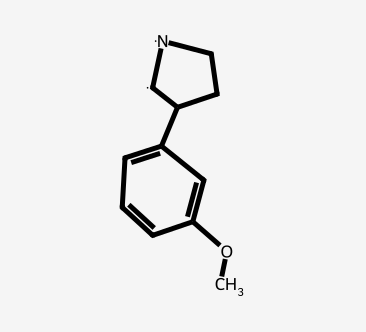 COc1cccc(C2[CH][N]CC2)c1